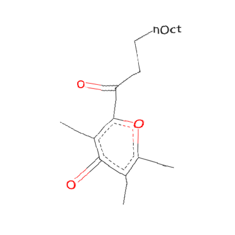 CCCCCCCCCCC(=O)c1oc(C)c(C)c(=O)c1C